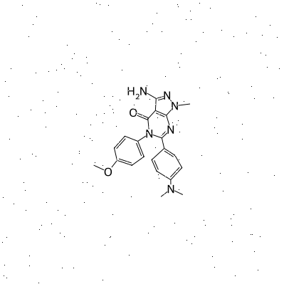 COc1ccc(-n2c(-c3ccc(N(C)C)cc3)nc3c(c(N)nn3C)c2=O)cc1